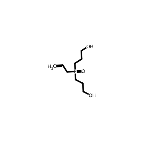 C=CCP(=O)(CCCO)CCCO